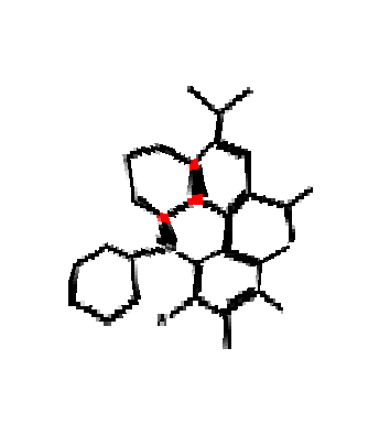 Cc1c(C)c(Br)c(P(C2CCCCC2)C2CCCCC2)c(-c2c(C(C)C)cc(C(C)C)cc2C(C)C)c1C